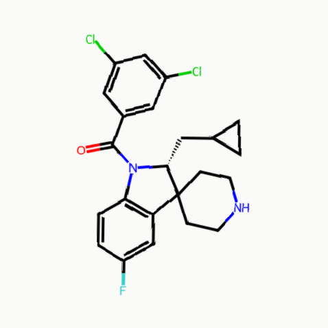 O=C(c1cc(Cl)cc(Cl)c1)N1c2ccc(F)cc2C2(CCNCC2)[C@H]1CC1CC1